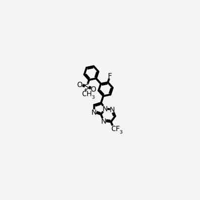 CS(=O)(=O)c1ccccc1-c1cc(-c2cnc3nc(C(F)(F)F)cnn23)ccc1F